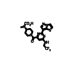 CN(C(=O)O)C1CCN(C(=O)c2cc(NCC(F)(F)F)nc(-c3cnn4ccsc34)n2)CC1